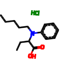 CCCCCN(c1ccccc1)C(CC)C(=O)O.Cl